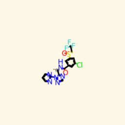 C[C@H](NC(=O)c1cc(Cl)cc([S+]([O-])CC(F)(F)F)c1)c1ncnn1-c1ncccn1